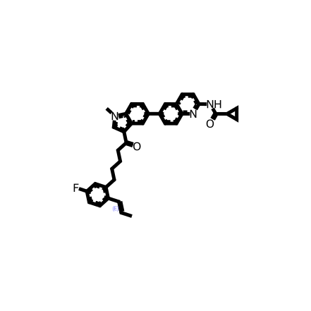 C/C=C/c1ccc(F)cc1CCCCC(=O)c1cn(C)c2ccc(-c3ccc4nc(NC(=O)C5CC5)ccc4c3)cc12